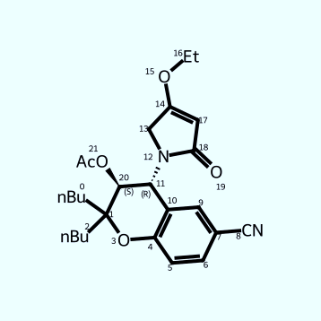 CCCCC1(CCCC)Oc2ccc(C#N)cc2[C@@H](N2CC(OCC)=CC2=O)[C@@H]1OC(C)=O